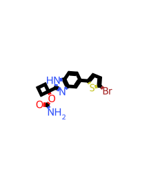 NC(=O)OC1(c2nc3cc(-c4ccc(Br)s4)ccc3[nH]2)CCC1